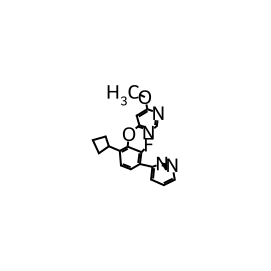 COc1cc(Oc2c(C3CCC3)ccc(-c3cccnn3)c2F)ncn1